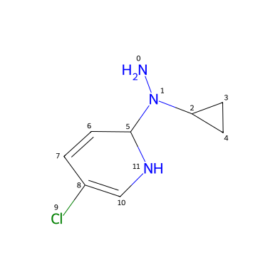 NN(C1CC1)C1C=CC(Cl)=CN1